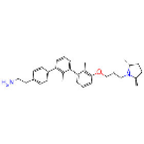 Cc1c(OCCCN2[C@H](C)CC[C@H]2C)cccc1-c1cccc(-c2ccc(CCN)cc2)c1C